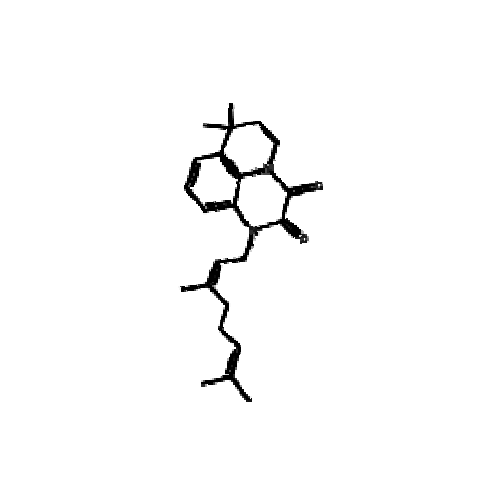 CC(C)=CCCC(C)=CCn1c(=O)c(=O)n2c3c(cccc31)C(C)(C)CC2